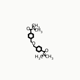 CN(C)C(=O)c1ccc(COCc2ccc(C(=O)N(C)C)cc2)cc1